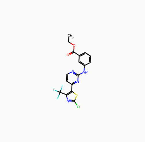 CCOC(=O)c1cccc(Nc2nccc(-c3sc(Cl)nc3C(F)(F)F)n2)c1